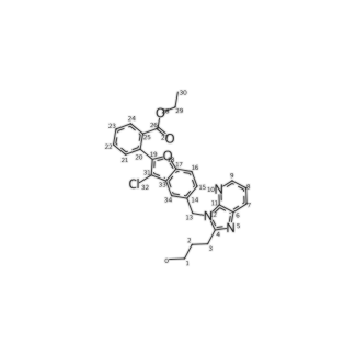 CCCCc1nc2cccnc2n1Cc1ccc2oc(-c3ccccc3C(=O)OCC)c(Cl)c2c1